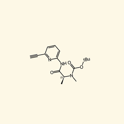 C#Cc1cccc(NC(=O)[C@H](C)N(C)C(=O)OC(C)(C)C)n1